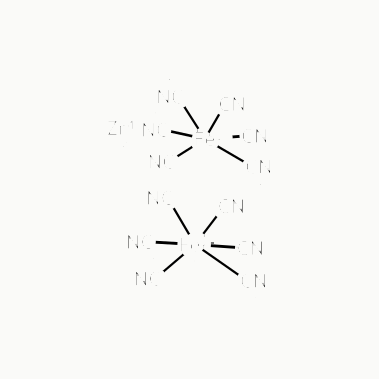 N#[C][Fe-2]([C]#N)([C]#N)([C]#N)([C]#N)[C]#N.N#[C][Fe-2]([C]#N)([C]#N)([C]#N)([C]#N)[C]#N.[Zr+4]